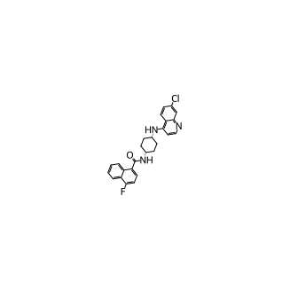 O=C(N[C@H]1CC[C@@H](Nc2ccnc3cc(Cl)ccc23)CC1)c1ccc(F)c2ccccc12